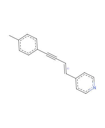 Cc1ccc(C#C/C=C/c2ccncc2)cc1